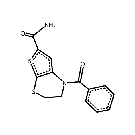 NC(=O)c1cc2c(s1)SCCN2C(=O)c1ccccc1